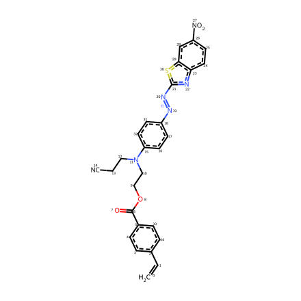 C=Cc1ccc(C(=O)OCCN(CCC#N)c2ccc(/N=N/c3nc4ccc([N+](=O)[O-])cc4s3)cc2)cc1